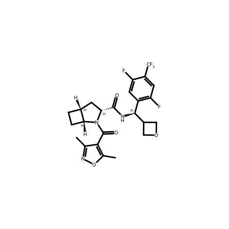 Cc1noc(C)c1C(=O)N1[C@@H](C(=O)N[C@@H](c2cc(F)c(C(F)(F)F)cc2F)C2COC2)C[C@H]2CC[C@H]21